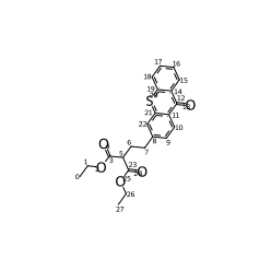 CCOC(=O)C(CCc1ccc2c(=O)c3ccccc3sc2c1)C(=O)OCC